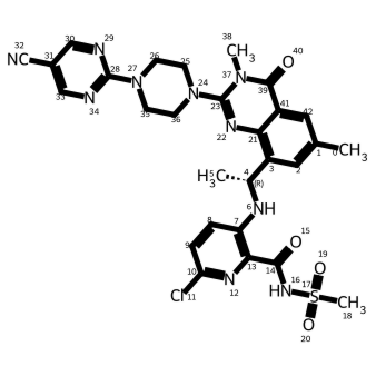 Cc1cc([C@@H](C)Nc2ccc(Cl)nc2C(=O)NS(C)(=O)=O)c2nc(N3CCN(c4ncc(C#N)cn4)CC3)n(C)c(=O)c2c1